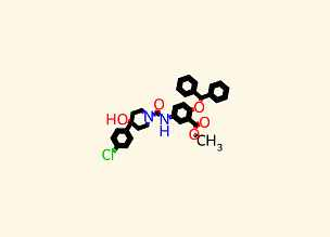 COC(=O)c1cc(NC(=O)N2CCC(O)(c3ccc(Cl)cc3)CC2)ccc1OC(c1ccccc1)c1ccccc1